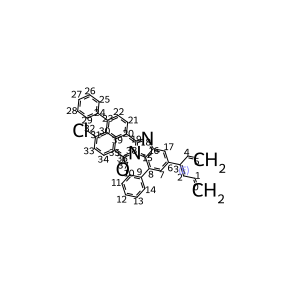 C=C/C=C(\C=C)c1cc(-c2ccccc2)c2c(c1)nc1c3ccc(-c4ccccc4)c4c(Cl)ccc(c(=O)n12)c43